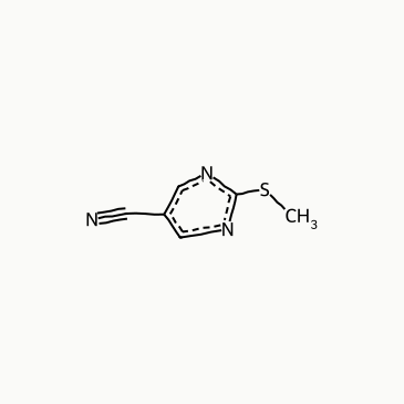 CSc1ncc(C#N)cn1